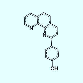 Oc1ccc(-c2ccc3ccc4cccnc4c3n2)cc1